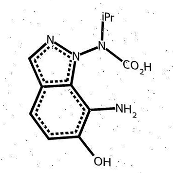 CC(C)N(C(=O)O)n1ncc2ccc(O)c(N)c21